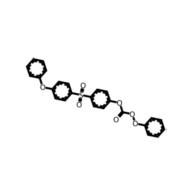 O=C(OOc1cc[c]cc1)Oc1ccc(S(=O)(=O)c2ccc(Oc3cc[c]cc3)cc2)cc1